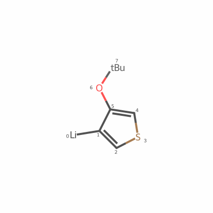 [Li][c]1cscc1OC(C)(C)C